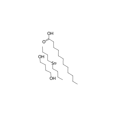 CCCCCCCCCCCC(=O)O.CCC[CH2][Sn][CH2]CCC.OCCCCO